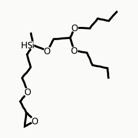 CCCCOC(CO[SiH](C)CCCOCC1CO1)OCCCC